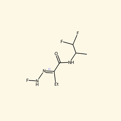 CC/C(=N\NF)C(=O)NC(C)C(F)F